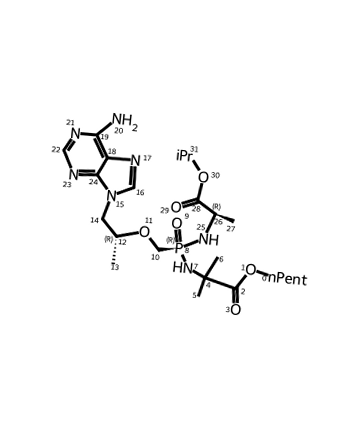 CCCCCOC(=O)C(C)(C)N[P@@](=O)(CO[C@H](C)Cn1cnc2c(N)ncnc21)N[C@H](C)C(=O)OC(C)C